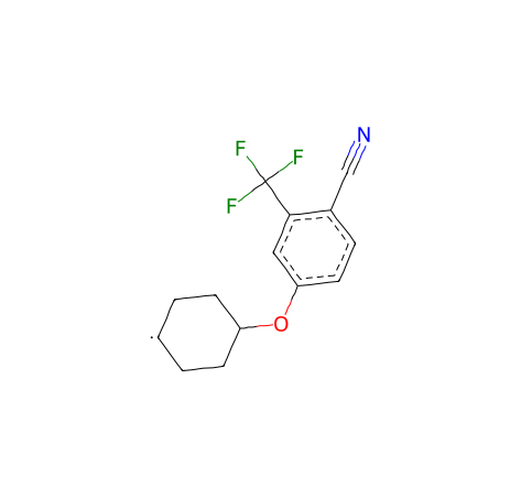 N#Cc1ccc(OC2CC[CH]CC2)cc1C(F)(F)F